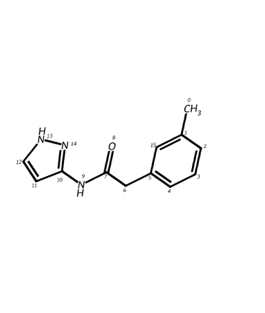 Cc1cccc(CC(=O)Nc2cc[nH]n2)c1